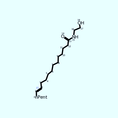 CCCCC/C=C/CCCCCCCCCCC(=O)NCCO